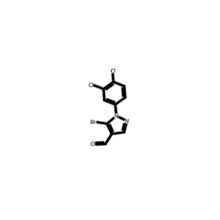 O=Cc1cnn(-c2ccc(Cl)c(Cl)c2)c1Br